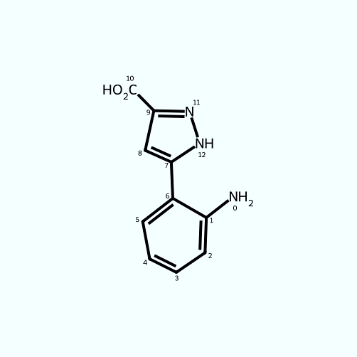 Nc1ccccc1-c1cc(C(=O)O)n[nH]1